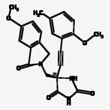 COc1ccc2c(c1)C(=O)N(C[C@@]1(C#Cc3cc(C)ccc3OC)NC(=O)NC1=O)C2